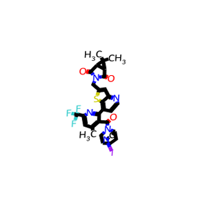 Cc1cc(C(F)(F)F)nc(-c2ccnc3cc(CN4C(=O)C5C(C4=O)C5(C)C)sc23)c1C(=O)N1CC2CCC1CN2I